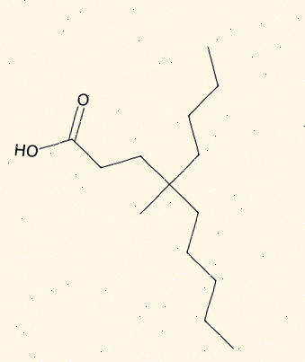 CCCCCC(C)(CCCC)CCC(=O)O